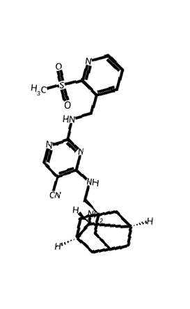 CS(=O)(=O)c1ncccc1CNc1ncc(C#N)c(NC[C@]23CC4C[C@H](C2)[C@@H](N)[C@@H](C4)C3)n1